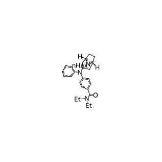 CCCCCCN1[C@@H]2CC[C@H]1C[C@H](N(c1ccccc1)c1ccc(C(=O)N(CC)CC)cc1)C2